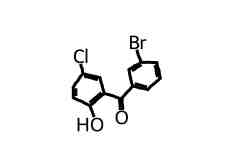 O=C(c1cccc(Br)c1)c1cc(Cl)ccc1O